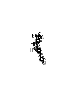 CCN1C(=O)C(C)(C)c2cc3nc(-c4n[nH]c5cc(C=Cc6ccc(Cl)cc6)ccc45)[nH]c3cc21